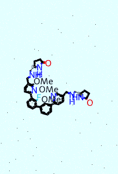 COc1nc(-c2cccc(-c3cccc(-c4ccc(CNC[C@@H]5CCC(=O)N5)c(OC)n4)c3OC)c2F)ccc1CNC[C@@H]1CCC(=O)N1